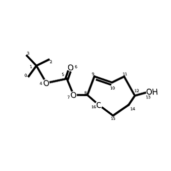 CC(C)(C)OC(=O)OC1/C=C/CC(O)CCC1